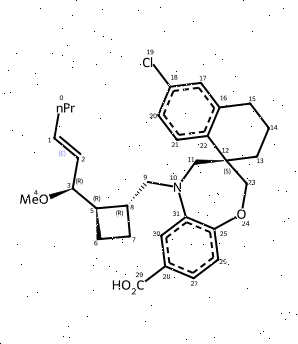 CCC/C=C/[C@H](OC)[C@@H]1CC[C@H]1CN1C[C@@]2(CCCc3cc(Cl)ccc32)COc2ccc(C(=O)O)cc21